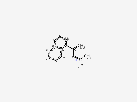 C=C(/C=C(\C)C(C)C)c1nccc2ccccc12